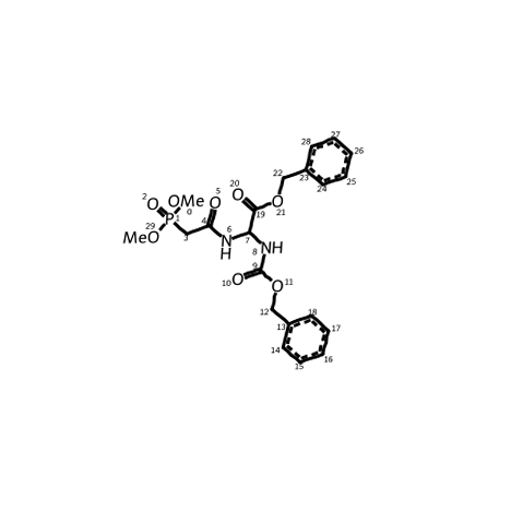 COP(=O)(CC(=O)NC(NC(=O)OCc1ccccc1)C(=O)OCc1ccccc1)OC